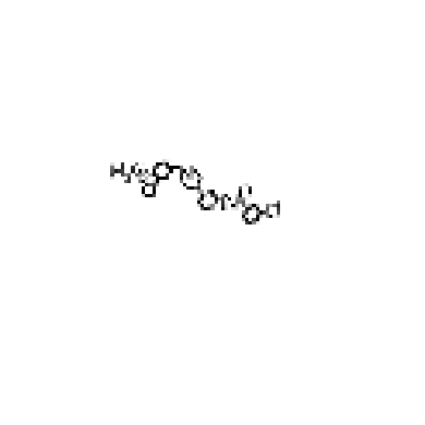 COc1ccc(CN2CCC(c3cccc(CNC(=O)c4cccc(Cl)c4)c3)CC2)cc1Cl